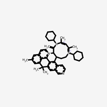 C=C1C2C(CC/[N+](C3CCCCC3)=C(C)\C=C(\C)N1C1CCCCC1)c1c3c(cc4cnccc14)C(C)(C)c1cc(C)cc4cc[n+]2c-3c14